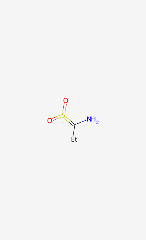 CCC(N)=S(=O)=O